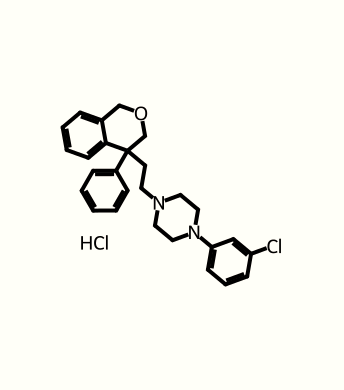 Cl.Clc1cccc(N2CCN(CCC3(c4ccccc4)COCc4ccccc43)CC2)c1